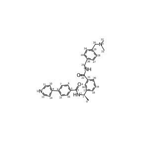 C[C@@H](NC(=O)c1ccc(-c2ccncc2)cc1)c1cccc(C(=O)NCc2ccc(CN(C)C)cc2)c1